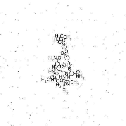 CCn1nc(C)cc1C(=O)Nc1nc2cc(C(N)=O)cc(OC)c2n1C/C=C/Cn1c(NC(=O)c2cc(C)nn2CC)nc2cc(C(N)=O)cc(OCC#CC3CCN(C(=O)OC4CCN(C(=O)OC(C)(C)C)CC4)CC3)c21